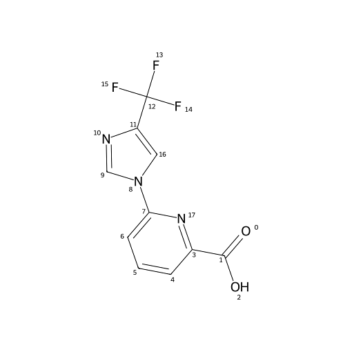 O=C(O)c1cccc(-n2cnc(C(F)(F)F)c2)n1